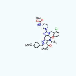 COC(=O)c1c(N(C)C(=O)c2c(I)nc(N3CCC[C@@H](NC(=O)OC(C)(C)C)C3)n2Cc2ccccc2Cl)cnn1Cc1ccc(OC)cc1